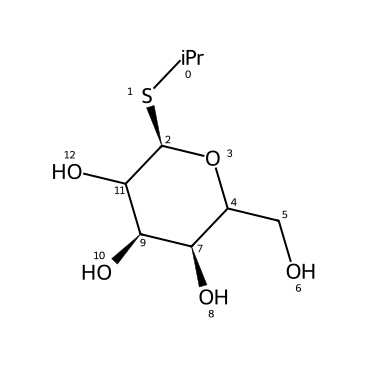 CC(C)S[C@H]1OC(CO)[C@@H](O)[C@@H](O)C1O